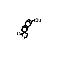 CC(C)(C)C1CC2CC1C1C2C2CC1C1(CCOC1=O)C2